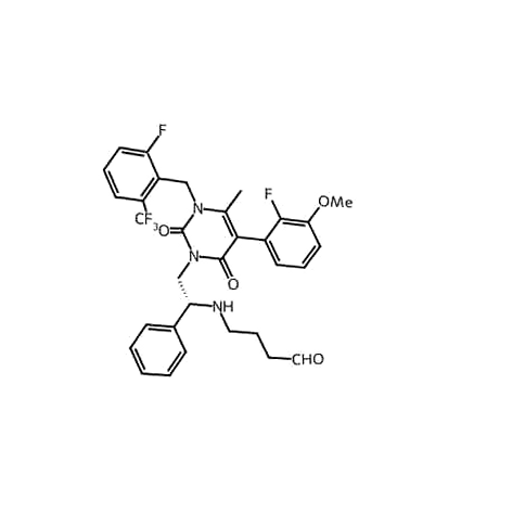 COc1cccc(-c2c(C)n(Cc3c(F)cccc3C(F)(F)F)c(=O)n(C[C@H](NCCCC=O)c3ccccc3)c2=O)c1F